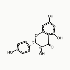 O=C1c2c(O)cc(O)cc2O[C@@H](c2ccc(O)cc2)[C@@H]1O